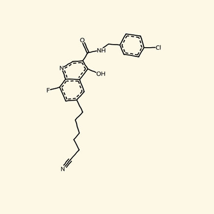 N#CCCCCCc1cc(F)c2ncc(C(=O)NCc3ccc(Cl)cc3)c(O)c2c1